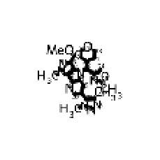 COC(=O)c1nn(C)c2c3ncc(-c4c(C)nnn4C)cc3n(C(c3coc(C)n3)C3CCOCC3)c12